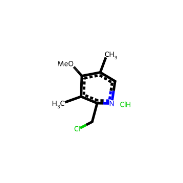 COc1c(C)cnc(CCl)c1C.Cl